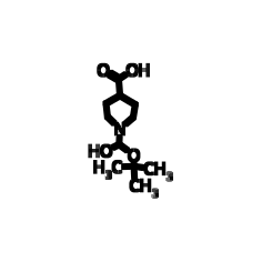 CC(C)(C)OC(O)N1CCC(C(=O)O)CC1